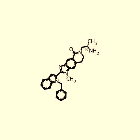 C[C@@H](N)CN1CCc2cc3c(cc2C1=O)nc(-c1cc2ccccc2n1Cc1ccccc1)n3C